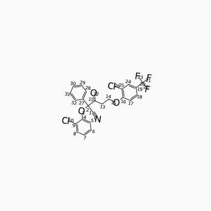 N#CC(Oc1ccccc1Cl)(C(=O)CCOc1ccc(C(F)(F)F)cc1Cl)c1ccccc1